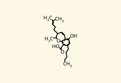 CCCCCc1cc(O)c2c(c1C(=O)O)O[C@@H](C)C(CCC=C(C)C)C=C2